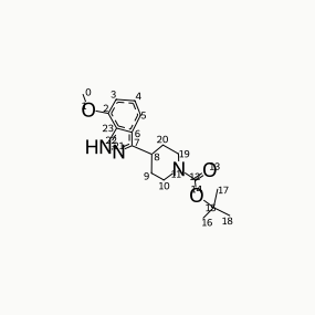 COc1cccc2c(C3CCN(C(=O)OC(C)(C)C)CC3)n[nH]c12